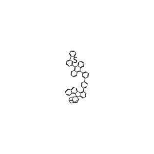 c1cc(-c2ccc(-c3cccc4c3-c3ccc5ccccc5c3C43C4CC5CC(C4)CC3C5)cc2)cc(-c2c3ccccc3c(-c3cccc4c3sc3ccccc34)c3ccccc23)c1